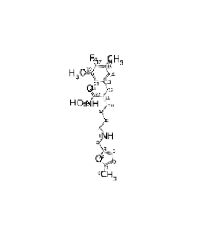 Cc1ccc(CNCCCC[C@@H](Cc2cc(C)c(F)c(C)c2)C(=O)NO)o1